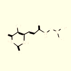 Cc1c(/C=C/C(=O)NOB(O)O)[nH]c(=O)[nH]c1=O